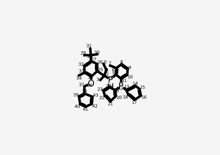 CCC(C)(Pc1c(C)cccc1P(c1ccccc1)c1ccccc1)c1cc(C(C)(C)C)cc(C)c1OCc1ccccc1